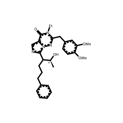 CCn1c(Cc2ccc(OC)c(OC)c2)nn2c(C(CCCc3ccccc3)[C@H](C)O)ncc2c1=O